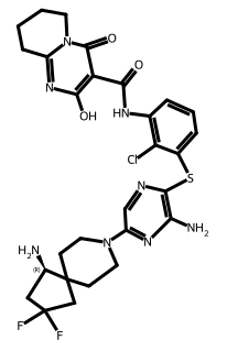 Nc1nc(N2CCC3(CC2)CC(F)(F)C[C@H]3N)cnc1Sc1cccc(NC(=O)c2c(O)nc3n(c2=O)CCCC3)c1Cl